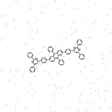 c1ccc(-c2cc(-c3ccc(-c4ccc5c(-c6ccccc6)c6cc(-c7ccc(-c8cc(-c9ccccc9)nc(-c9ccccc9)n8)cc7)ccc6c(-c6ccccc6)c5c4)cc3)nc(-c3ccccc3)n2)cc1